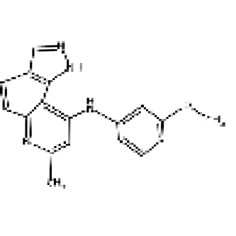 COc1cccc(Nc2cc(C)nc3ccc4cn[nH]c4c23)c1